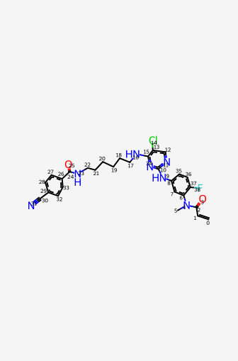 C=CC(=O)N(C)c1cc(Nc2ncc(Cl)c(NCCCCCCNC(=O)c3ccc(C#N)cc3)n2)ccc1F